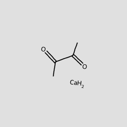 CC(=O)C(C)=O.[CaH2]